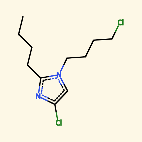 CCCCc1nc(Cl)cn1CCCCCl